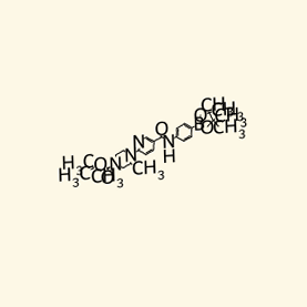 CC1CN(C(=O)OC(C)(C)C)CCN1c1ccc(C(=O)Nc2ccc(B3OC(C)(C)C(C)(C)O3)cc2)cn1